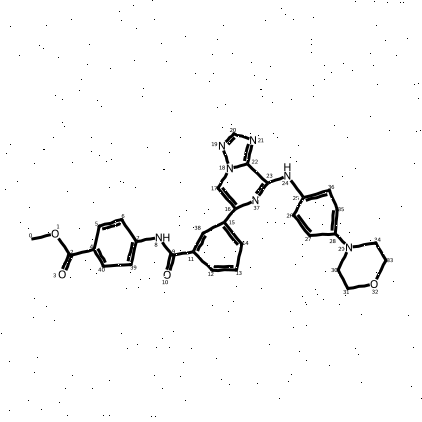 COC(=O)c1ccc(NC(=O)c2cccc(-c3cn4ncnc4c(Nc4ccc(N5CCOCC5)cc4)n3)c2)cc1